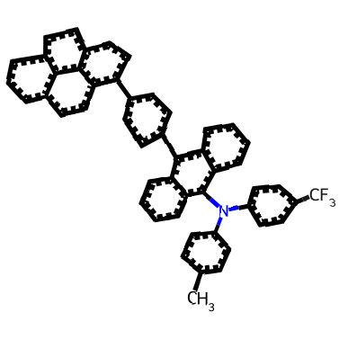 Cc1ccc(N(c2ccc(C(F)(F)F)cc2)c2c3ccccc3c(-c3ccc(-c4ccc5ccc6cccc7ccc4c5c67)cc3)c3ccccc23)cc1